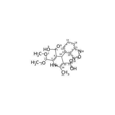 COC(OC)C1=C(C(=O)O)C(c2cccc3nonc23)C(C(=O)O)=C(C)N1